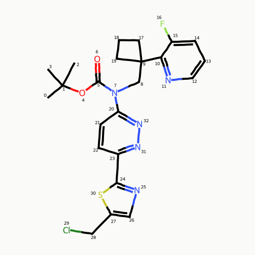 CC(C)(C)OC(=O)N(CC1(c2ncccc2F)CCC1)c1ccc(-c2ncc(CCl)s2)nn1